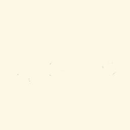 O=C(O)CCc1ccc(OCCCCc2ccccc2)cc1